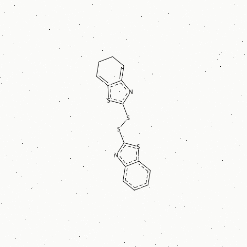 C1=c2nc(SSc3nc4ccccc4s3)sc2=CCC1